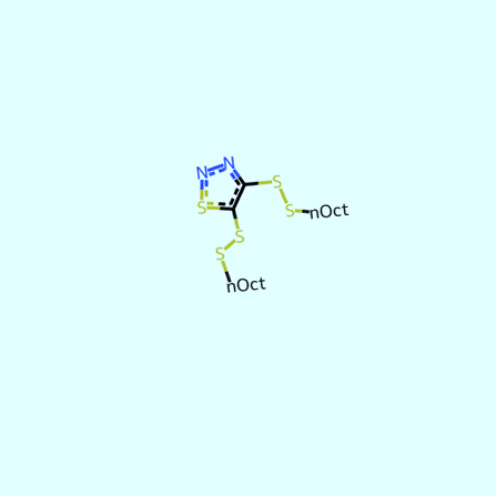 CCCCCCCCSSc1nnsc1SSCCCCCCCC